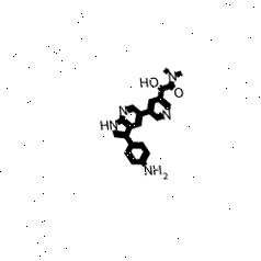 CN(C)C(=O)C(O)c1cncc(-c2cnc3[nH]cc(-c4ccc(N)cc4)c3c2)c1